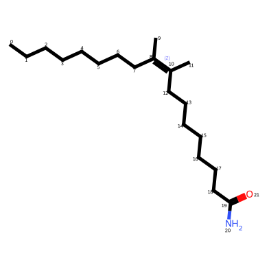 CCCCCCCC/C(C)=C(/C)CCCCCCCC(N)=O